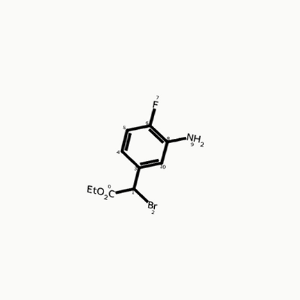 CCOC(=O)C(Br)c1ccc(F)c(N)c1